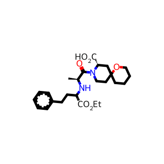 CCOC(=O)C(CCc1ccccc1)N[C@@H](C)C(=O)N1CCC2(CCCCO2)C[C@H]1C(=O)O